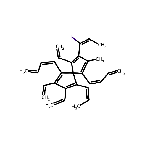 C=C/C=C\C1=C(C)C(/C(I)=C\C)=C(C=C)C12C(/C=C\C)=C(C=C)C(C=C)=C2/C=C\C=C